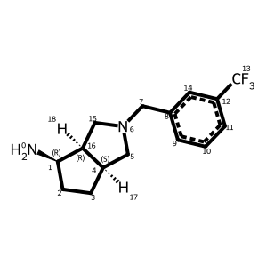 N[C@@H]1CC[C@@H]2CN(Cc3cccc(C(F)(F)F)c3)C[C@@H]21